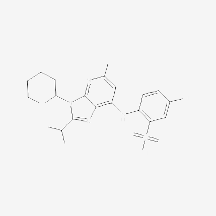 CS(=O)(=O)c1cc(Cl)ccc1Nc1cc(Cl)nc2c1nc(C(F)F)n2C1CCCCO1